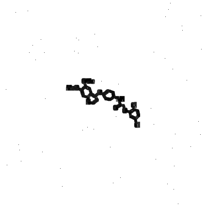 COc1cc2nccc(Oc3ccc(NC(=O)COc4cc(Cl)ccc4Cl)cc3)c2cc1OC